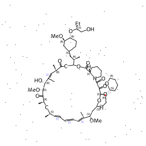 CC[C@@H](CO)O[C@@H]1CC[C@@H](C[C@@H](C)C2CC(=O)[C@H](C)/C=C(\C)[C@@H](O)[C@@H](OC)C(=O)[C@H](C)C[C@H](C)/C=C/C=C/C=C(\C)[C@@H](OC)C[C@@H]3CC[C@@H](C)[C@@](O[C@H]4CCC[C@@H](C)O4)(O3)C(=O)C(=O)N3CCCC[C@H]3C(=O)O2)C[C@H]1OC